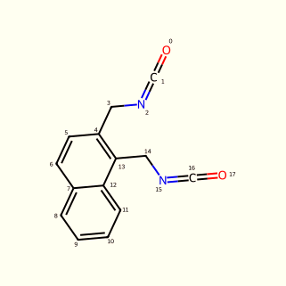 O=C=NCc1ccc2ccccc2c1CN=C=O